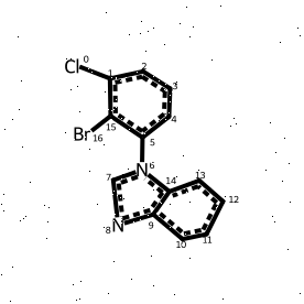 Clc1cccc(-n2cnc3ccccc32)c1Br